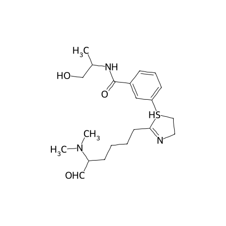 CC(CO)NC(=O)c1cccc([SH]2CCN=C2CCCCC(C=O)N(C)C)c1